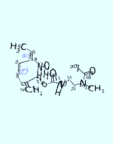 C=C(/C=C\C(=C/C)NO)COC(=O)NCCN(C)C(=O)I